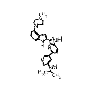 CC(C)Nc1cncc(-c2ccc3[nH]nc(-c4cc5c(N6CCN(C)CC6)cccc5[nH]4)c3n2)c1